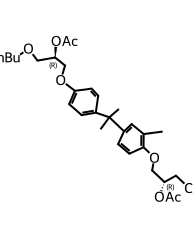 CCCCOC[C@H](COc1ccc(C(C)(C)c2ccc(OC[C@H](CCl)OC(C)=O)c(C)c2)cc1)OC(C)=O